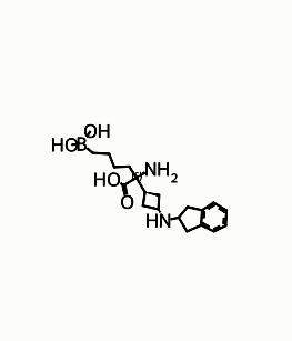 N[C@](CCCCB(O)O)(C(=O)O)[C@H]1C[C@H](NC2Cc3ccccc3C2)C1